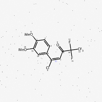 COc1ccc(/C(Cl)=C\C(=O)C(F)(F)C(F)(F)F)cc1OC